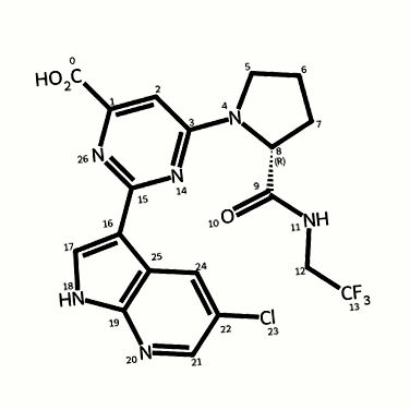 O=C(O)c1cc(N2CCC[C@@H]2C(=O)NCC(F)(F)F)nc(-c2c[nH]c3ncc(Cl)cc23)n1